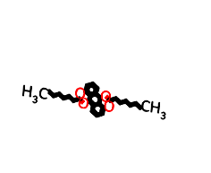 CCCCCCCC(=O)OC1=C2C=CC=CC2C(OC(=O)CCCCCCC)c2ccccc21